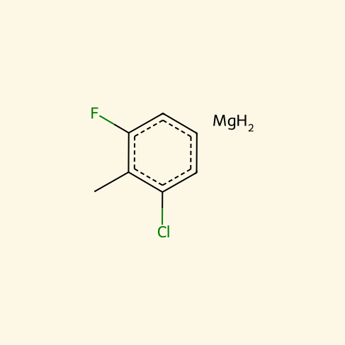 Cc1c(F)cccc1Cl.[MgH2]